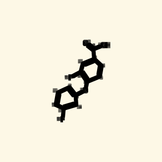 O=C(O)c1ccc(Oc2cccc(F)c2)c(F)c1